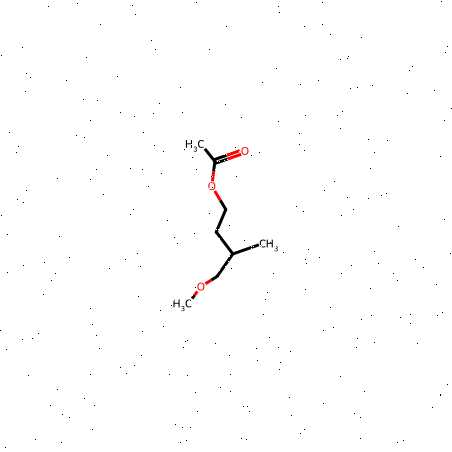 COCC(C)CCOC(C)=O